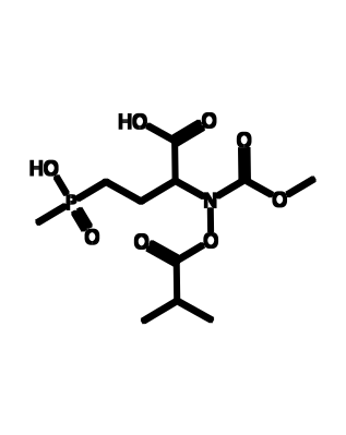 COC(=O)N(OC(=O)C(C)C)C(CCP(C)(=O)O)C(=O)O